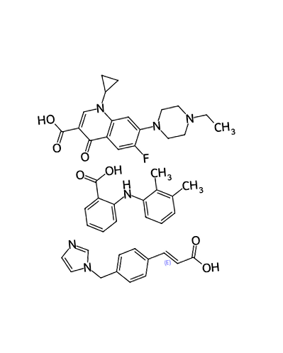 CCN1CCN(c2cc3c(cc2F)c(=O)c(C(=O)O)cn3C2CC2)CC1.Cc1cccc(Nc2ccccc2C(=O)O)c1C.O=C(O)/C=C/c1ccc(Cn2ccnc2)cc1